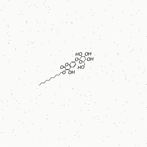 CCCCCCCCCCOc1c(O)c2ccc(O[C@@H]3O[C@H](CO)[C@@H](O)[C@H](O)[C@@H]3O)cc2oc1=O